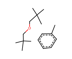 CC(C)(C)COCC(C)(C)C.Cc1ccccc1